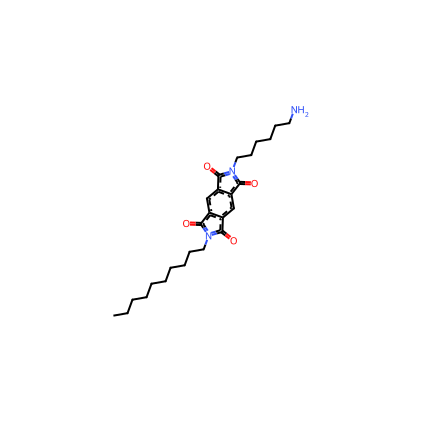 CCCCCCCCCCn1c(=O)c2cc3c(=O)n(CCCCCCN)c(=O)c3cc2c1=O